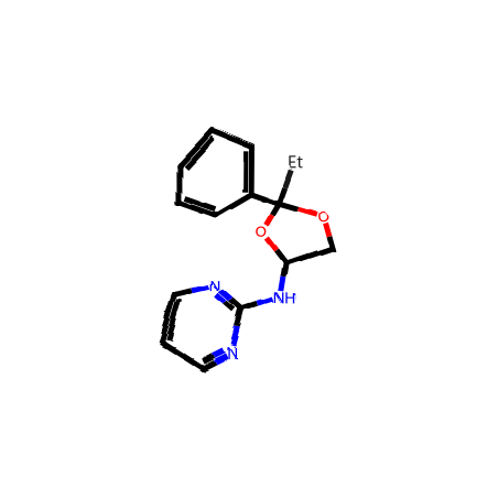 CCC1(c2ccccc2)OCC(Nc2ncccn2)O1